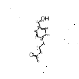 CC(=O)CCCc1ccc(CO)cc1